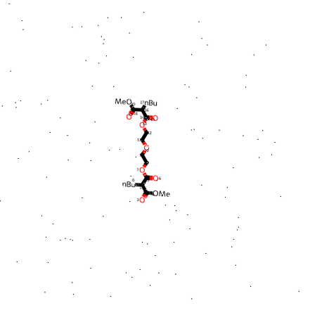 CCCCC(C(=O)OC)C(=O)OCCOCCOC(=O)C(CCCC)C(=O)OC